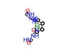 COc1nc(-c2cccc(-c3cccc(-c4ccn5cc(CNC[C@H]6CCC(=O)N6)nc5c4)c3Cl)c2Cl)ccc1CNC[C@@H]1CCC(=O)N1